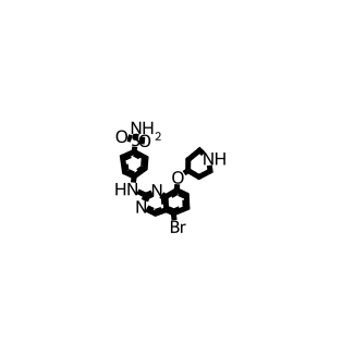 NS(=O)(=O)c1ccc(Nc2ncc3c(Br)ccc(OC4CCNCC4)c3n2)cc1